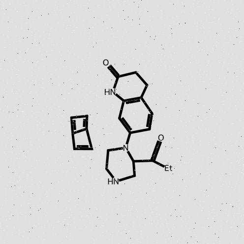 CCC(=O)C1CNCCN1c1ccc2c(c1)NC(=O)CC2.c1cc2ccc1-2